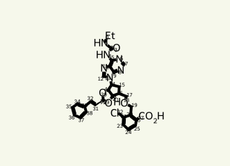 CCNC(=O)Nc1ncnc2c1ncn2C1CC(COCc2c(Cl)cccc2C(=O)O)[C@H]2O[C@@H](C=Cc3ccccc3)OC12